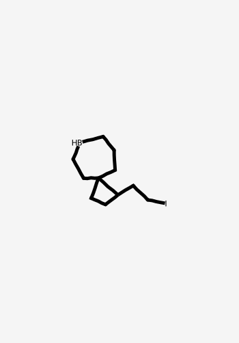 ICCC1CCC12CCBCCC2